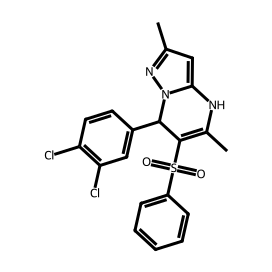 CC1=C(S(=O)(=O)c2ccccc2)C(c2ccc(Cl)c(Cl)c2)n2nc(C)cc2N1